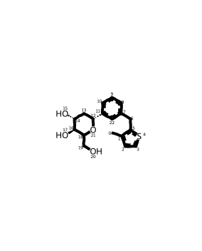 Cc1ccsc1Cc1cccc([C@H]2C[C@@H](O)[C@H](O)C(CO)O2)c1